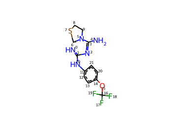 N=C(N=C(N)N1[CH]SCC1)Nc1ccc(OC(F)(F)F)cc1